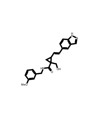 COc1cccc(CNC(=O)C2(CO)CC2C=Cc2ccc3[nH]ncc3c2)c1